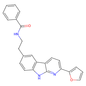 O=C(NCCc1ccc2[nH]c3nc(-c4ccco4)ccc3c2c1)c1ccccc1